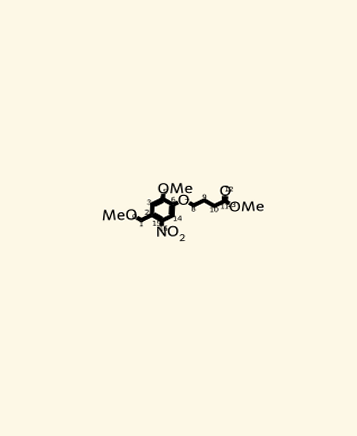 COCc1cc(OC)c(OCCCC(=O)OC)cc1[N+](=O)[O-]